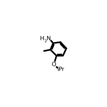 Cc1c(N)cccc1OC(C)C